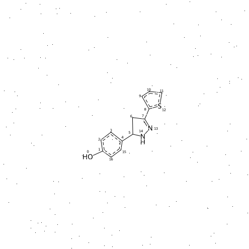 Oc1ccc(C2CC(c3cccs3)=NN2)cc1